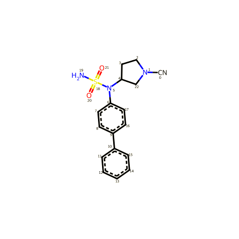 N#CN1CCC(N(c2ccc(-c3ccccc3)cc2)S(N)(=O)=O)C1